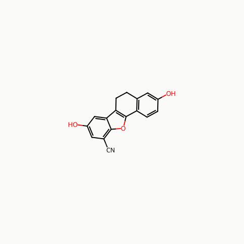 N#Cc1cc(O)cc2c3c(oc12)-c1ccc(O)cc1CC3